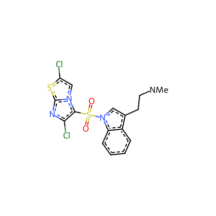 CNCCc1cn(S(=O)(=O)c2c(Cl)nc3sc(Cl)cn23)c2ccccc12